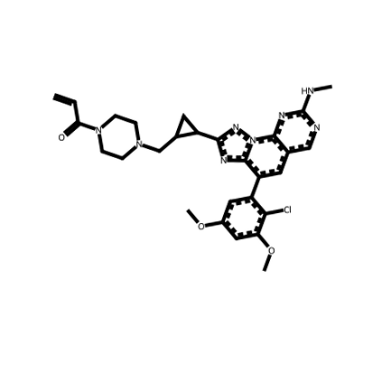 C=CC(=O)N1CCN(CC2CC2c2nc3c(-c4cc(OC)cc(OC)c4Cl)cc4cnc(NC)nc4n3n2)CC1